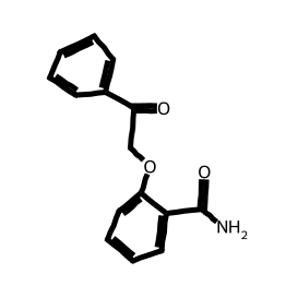 NC(=O)c1ccccc1OCC(=O)c1ccccc1